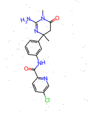 CN1C(=O)CC(C)(c2cccc(NC(=O)c3ccc(Cl)cn3)c2)N=C1N